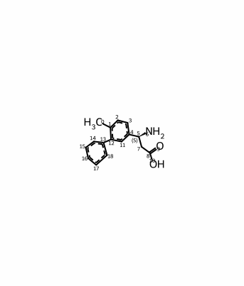 Cc1ccc([C@@H](N)CC(=O)O)cc1-c1ccccc1